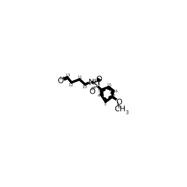 COc1ccc(S(=O)(=O)NCCCC=O)cc1